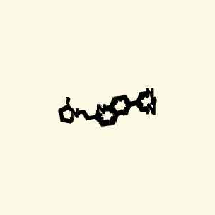 C[C@@H]1CCCN1CCc1ccc2cc(-c3cncnc3)ccc2n1